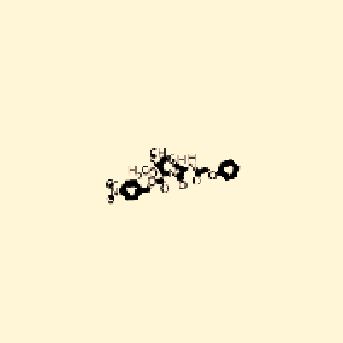 CO[C@]1(SC)CS[C@@H]2[C@H](NC(=O)COc3ccccc3)C(=O)N2[C@@H]1C(=O)OCc1ccc([N+](=O)[O-])cc1